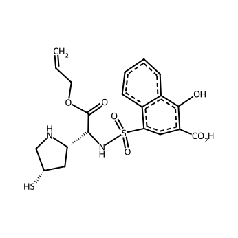 C=CCOC(=O)C(NS(=O)(=O)c1cc(C(=O)O)c(O)c2ccccc12)[C@@H]1C[C@H](S)CN1